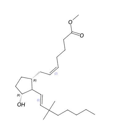 CCCCCC(C)(C)/C=C/C1[C@@H](C/C=C\CCCC(=O)OC)CC[C@H]1O